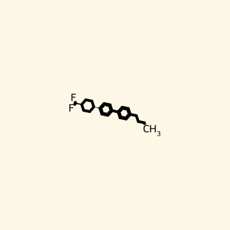 CCCCc1ccc(-c2ccc([C@H]3CC[C@H](C(F)F)CC3)cc2)cc1